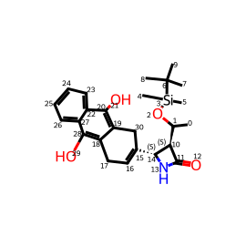 CC(O[Si](C)(C)C(C)(C)C)[C@H]1C(=O)N[C@@H]1C1=CCc2c(c(O)c3ccccc3c2O)C1